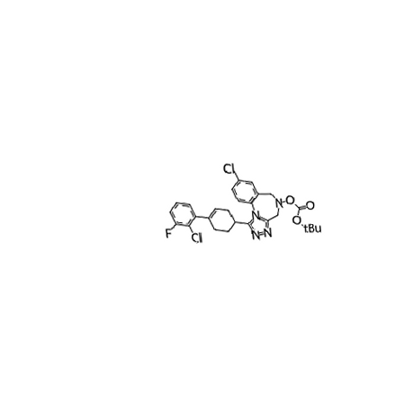 CC(C)(C)OC(=O)ON1Cc2cc(Cl)ccc2-n2c(nnc2C2CC=C(c3cccc(F)c3Cl)CC2)C1